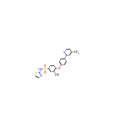 N#Cc1cc(S(=O)(=O)Nc2nccs2)ccc1Oc1ccc(-c2cc(C(F)(F)F)ccn2)cc1